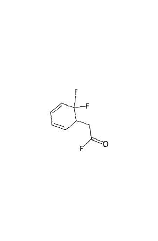 O=C(F)CC1C=CC=CC1(F)F